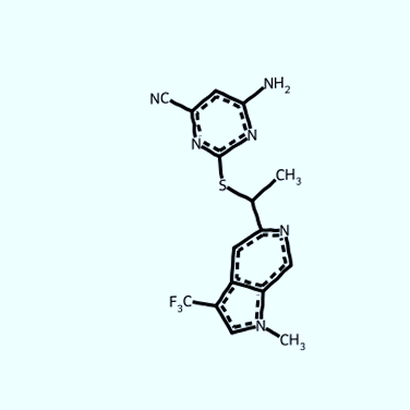 CC(Sc1nc(N)cc(C#N)n1)c1cc2c(C(F)(F)F)cn(C)c2cn1